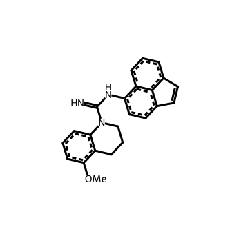 COc1cccc2c1CCCN2C(=N)Nc1ccc2c3c(cccc13)C=C2